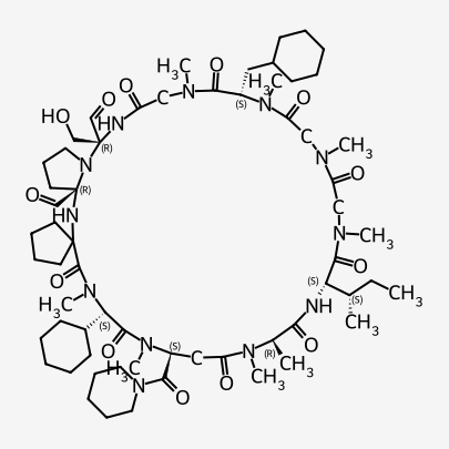 CC[C@H](C)[C@@H]1NC(=O)[C@@H](C)N(C)C(=O)C[C@@H](C(=O)N2CCCCC2)N(C)C(=O)[C@H](C2CCCCC2)N(C)C(=O)C2(CCCC2)N[C@]2(C=O)CCCN2[C@@](C=O)(CO)NC(=O)CN(C)C(=O)[C@H](CC2CCCCC2)N(C)C(=O)CN(C)C(=O)CN(C)C1=O